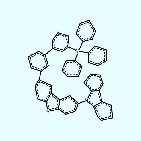 c1ccc([Si](c2ccccc2)(c2ccccc2)c2cccc(-c3cccc(-c4ccc5sc6ccc(-n7c8ccccc8c8ccccc87)cc6c5c4)c3)c2)cc1